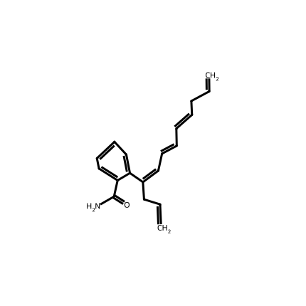 C=CC/C=C/C=C/C=C(/CC=C)c1ccccc1C(N)=O